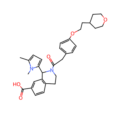 Cc1ccc(C2c3cc(C(=O)O)ccc3CCN2C(=O)Cc2ccc(OCCC3CCOCC3)cc2)n1C